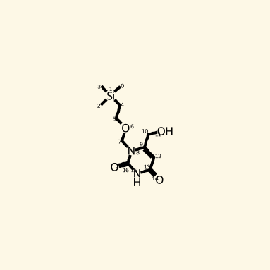 C[Si](C)(C)CCOCn1c(CO)cc(=O)[nH]c1=O